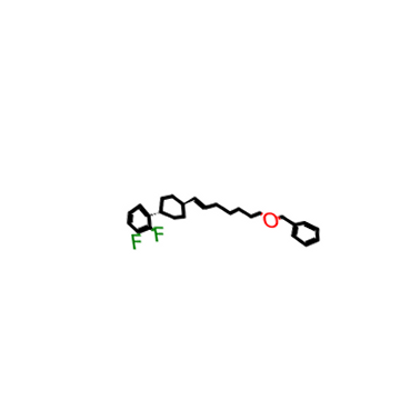 Fc1cccc([C@H]2CC[C@H](C=CCCCCCOCc3ccccc3)CC2)c1F